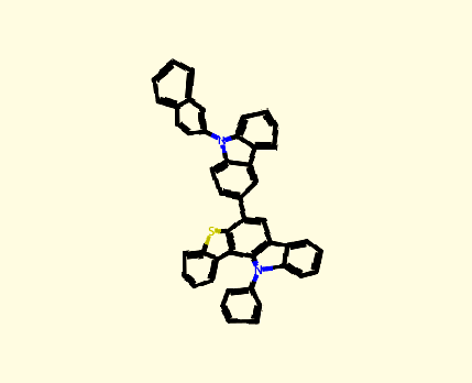 c1ccc(-n2c3ccccc3c3cc(-c4ccc5c(c4)c4ccccc4n5-c4ccc5ccccc5c4)c4sc5ccccc5c4c32)cc1